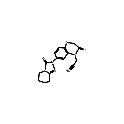 C#CCN1C(=O)COc2ccc(-n3nc4n(c3=O)CCCC4)cc21